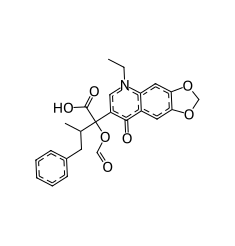 CCn1cc(C(OC=O)(C(=O)O)C(C)Cc2ccccc2)c(=O)c2cc3c(cc21)OCO3